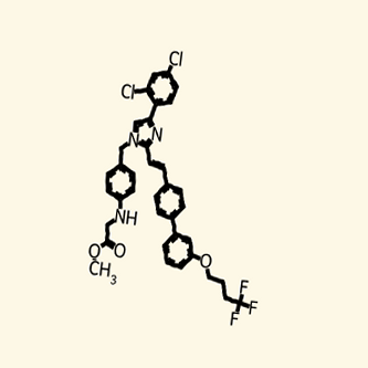 COC(=O)CNc1ccc(Cn2cc(-c3ccc(Cl)cc3Cl)nc2/C=C/c2ccc(-c3cccc(OCCCC(F)(F)F)c3)cc2)cc1